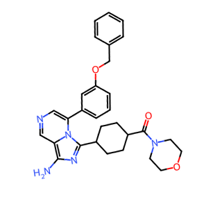 Nc1nc(C2CCC(C(=O)N3CCOCC3)CC2)n2c(-c3cccc(OCc4ccccc4)c3)cncc12